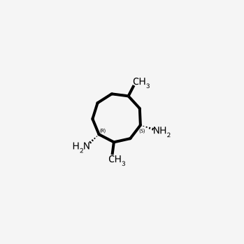 CC1CCC[C@@H](N)C(C)C[C@@H](N)C1